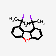 CC(C)(I)c1cccc2oc3cccc(C(C)(C)I)c3c12